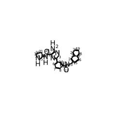 Nc1ncc(-c2cccc(C(=O)NCc3ccc4ccccc4c3)c2)nc1C(=O)N[C@H]1CCCNC1